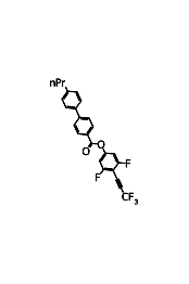 CCCc1ccc(-c2ccc(C(=O)Oc3cc(F)c(C#CC(F)(F)F)c(F)c3)cc2)cc1